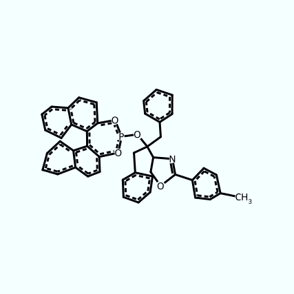 Cc1ccc(C2=NC(C(Cc3ccccc3)(Cc3ccccc3)Op3oc4ccc5ccccc5c4c4c(ccc5ccccc54)o3)CO2)cc1